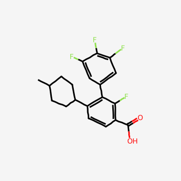 CC1CCC(c2ccc(C(=O)O)c(F)c2-c2cc(F)c(F)c(F)c2)CC1